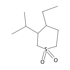 CCC1CCS(=O)(=O)CC1C(C)C